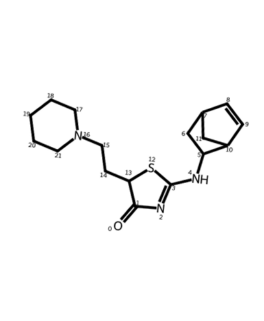 O=C1N=C(NC2CC3C=CC2C3)SC1CCN1CCCCC1